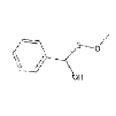 COSC(O)c1ccccc1